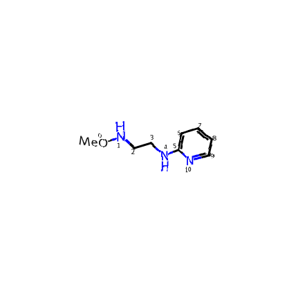 CONCCNc1ccccn1